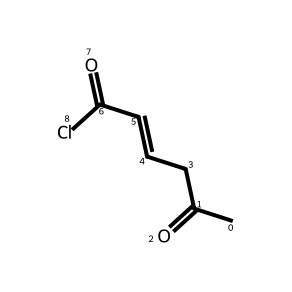 CC(=O)CC=CC(=O)Cl